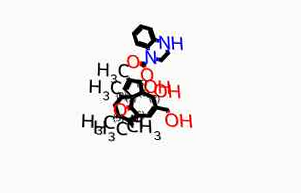 CC1=C[C@]23C(=O)[C@@H](C=C(CO)[C@@H](O)[C@]2(O)[C@H]1OC(=O)N1CCNc2ccccc21)C(C)(C)[C@@H](C)C[C@H]3C